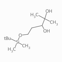 CC(C)(O)C(O)CCO[Si](C)(C)C(C)(C)C